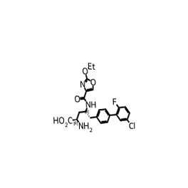 CCOc1nc(C(=O)N[C@H](Cc2ccc(-c3cc(Cl)ccc3F)cc2)C[C@@H](N)C(=O)O)co1